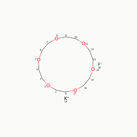 C1COCCOCCOCCOCCOCCO1.[F-].[K+]